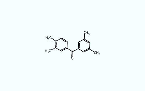 Cc1cc(C)cc(C(=O)c2ccc(C)c(C)c2)c1